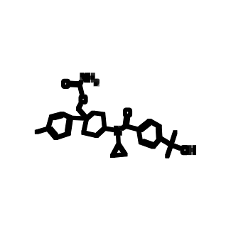 Cc1ccc(C2(COC(N)=O)CCC(N(C(=O)c3ccc(C(C)(C)O)cc3)C3CC3)CC2)cc1